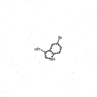 CCCc1c[nH]c2ccc(Br)cc12